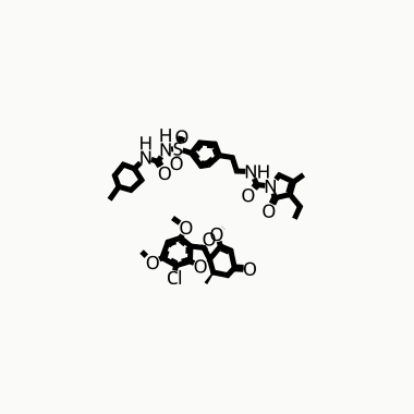 CCC1=C(C)CN(C(=O)NCCc2ccc(S(=O)(=O)NC(=O)NC3CCC(C)CC3)cc2)C1=O.COC1=CC(=O)C[C@@H](C)[C@]12Oc1c(Cl)c(OC)cc(OC)c1C2=O